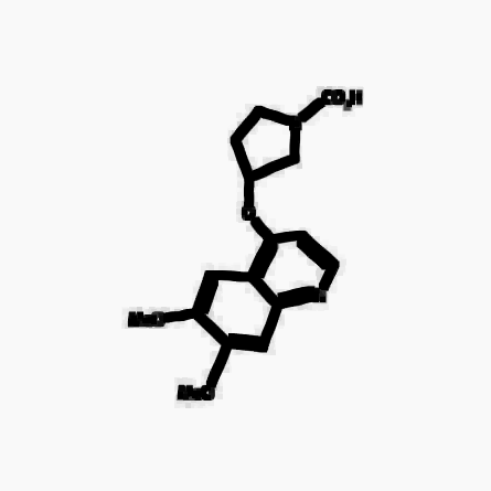 COc1cc2nccc(OC3CCN(C(=O)O)C3)c2cc1OC